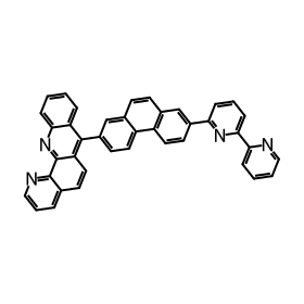 c1ccc(-c2cccc(-c3ccc4c(ccc5cc(-c6c7ccccc7nc7c6ccc6cccnc67)ccc54)c3)n2)nc1